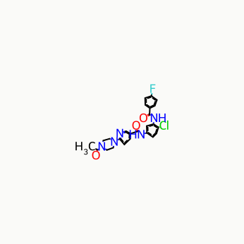 CC(=O)N1CCN(c2ccc(C(=O)Nc3ccc(Cl)c(NC(=O)c4ccc(F)cc4)c3)cn2)CC1